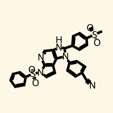 CS(=O)(=O)c1ccc(C2Nc3cnc4c(ccn4S(=O)(=O)c4ccccc4)c3N2c2ccc(C#N)cc2)cc1